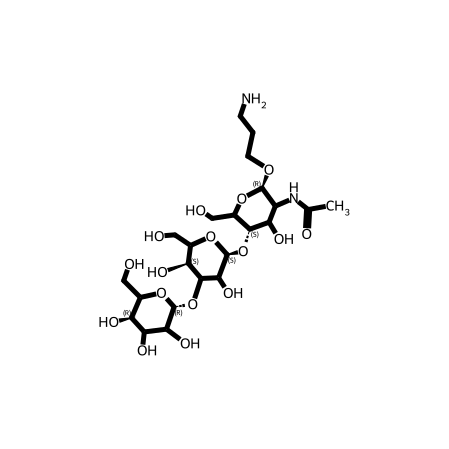 CC(=O)NC1C(O)[C@H](O[C@@H]2OC(CO)[C@H](O)C(O[C@H]3OC(CO)[C@H](O)C(O)C3O)C2O)C(CO)O[C@H]1OCCCN